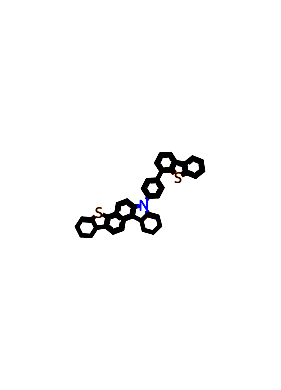 C1=C2Sc3c(ccc4c5c(ccc34)N(c3ccc(-c4cccc6c4sc4ccccc46)cc3)C3=CCCCC35)C2CCC1